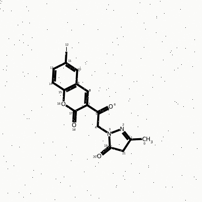 CC1=NN(CC(=O)c2cc3cc(I)ccc3oc2=O)C(=O)C1